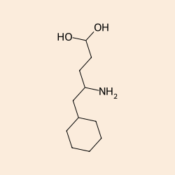 NC(CCC(O)O)CC1CCCCC1